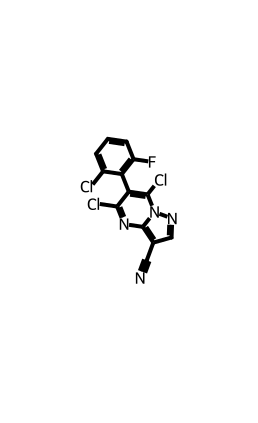 N#Cc1cnn2c(Cl)c(-c3c(F)cccc3Cl)c(Cl)nc12